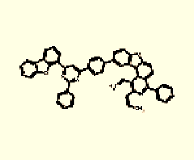 C=Cc1c(/C=C\C)nc(-c2ccccc2)c2ccc3oc4ccc(-c5ccc(-c6cc(-c7cccc8c7oc7ccccc78)nc(-c7ccccc7)n6)cc5)cc4c3c12